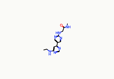 CCNc1cc(-c2cnc(NCC(=O)NC)nc2)ncn1